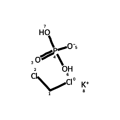 ClCCl.O=P([O-])(O)O.[K+]